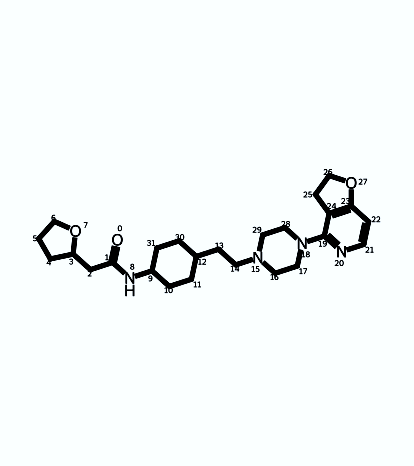 O=C(CC1CCCO1)NC1CCC(CCN2CCN(c3nccc4c3CCO4)CC2)CC1